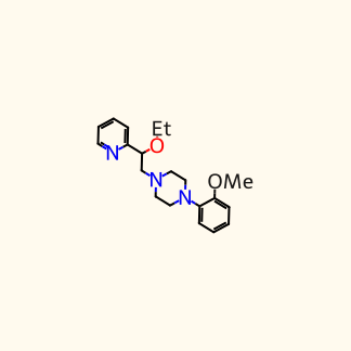 CCOC(CN1CCN(c2ccccc2OC)CC1)c1ccccn1